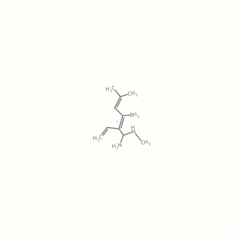 B/C(C=C(C)C)=C(/C=C)C(N)NC